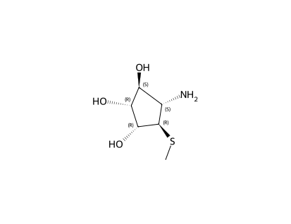 CS[C@@H]1[C@@H](N)[C@H](O)[C@@H](O)[C@H]1O